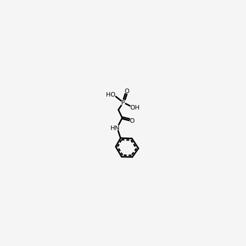 O=C(CP(=O)(O)O)Nc1ccccc1